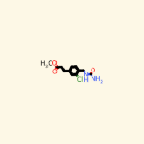 COC(=O)CCc1ccc(CNC(N)=O)c(Cl)c1